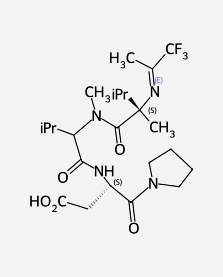 C/C(=N\[C@](C)(C(=O)N(C)C(C(=O)N[C@@H](CC(=O)O)C(=O)N1CCCC1)C(C)C)C(C)C)C(F)(F)F